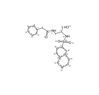 CC(CNC(=O)Cc1ccccc1)NS(=O)(=O)c1ccc2cnccc2c1.Cl